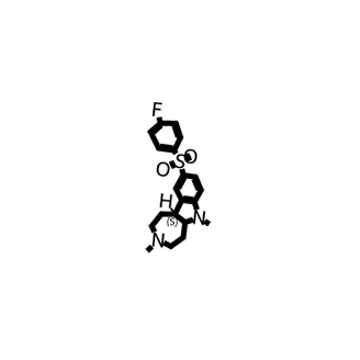 CN1CCC2[C@@H](CC1)c1cc(S(=O)(=O)c3ccc(F)cc3)ccc1N2C